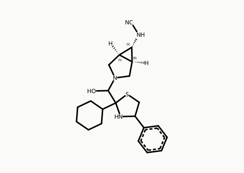 N#CN[C@H]1[C@@H]2CN(C(O)C3(C4CCCCC4)NC(c4ccccc4)CS3)C[C@@H]21